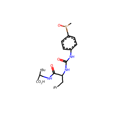 CC(C)CC(NC(=O)Nc1ccc([S+](C)[O-])cc1)C(=O)NC(C(=O)O)C(C)(C)C